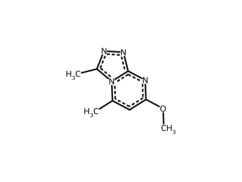 COc1cc(C)n2c(C)nnc2n1